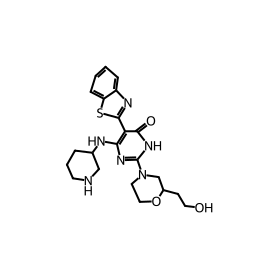 O=c1[nH]c(N2CCOC(CCO)C2)nc(NC2CCCNC2)c1-c1nc2ccccc2s1